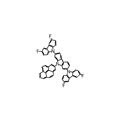 Fc1ccc2c(c1)c1cc(F)ccc1n2-c1ccc2c3ccc(-n4c5ccc(F)cc5c5cc(F)ccc54)cc3n(-c3cc4ccc5cccc6ccc(c3)c4c56)c2c1